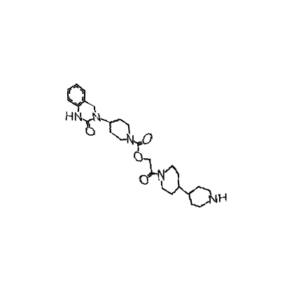 O=C(COC(=O)N1CCC(N2Cc3ccccc3NC2=O)CC1)N1CCC(C2CCNCC2)CC1